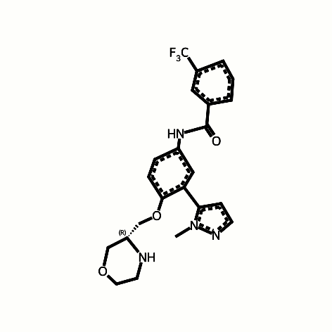 Cn1nccc1-c1cc(NC(=O)c2cccc(C(F)(F)F)c2)ccc1OC[C@H]1COCCN1